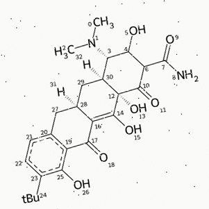 CN(C)[C@@H]1C(O)C(C(N)=O)C(=O)[C@@]2(O)C(O)=C3C(=O)c4c(ccc(C(C)(C)C)c4O)C[C@H]3C[C@@H]12